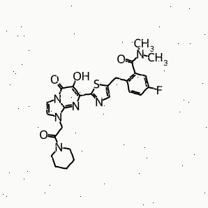 CN(C)C(=O)c1cc(F)ccc1Cc1cnc(-c2nc3n(CC(=O)N4CCCCC4)ccn3c(=O)c2O)s1